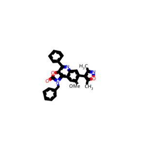 COc1cc2c(cc1-c1c(C)noc1C)nc(-c1ccccc1)c1oc(=O)n(Cc3ccccc3)c12